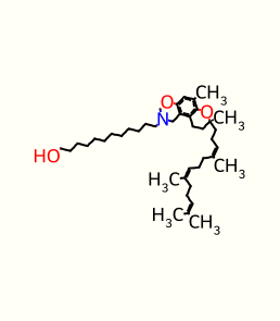 CC(C)=CCCC(C)=CCCC(C)=CCC[C@]1(C)CCc2c3c(cc(C)c2O1)OCN(CCCCCCCCCCCCO)C3